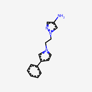 Nc1cnn(CCn2ccc(-c3ccccc3)c2)c1